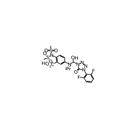 CC(C)N(c1ccc(N(S(C)(=O)=O)S(C)(=O)=O)c(C(=O)O)c1)C(O)n1nnn(-c2c(F)cccc2F)c1=O